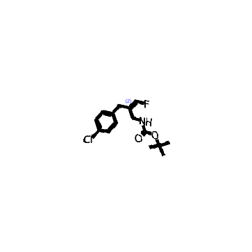 CC(C)(C)OC(=O)NC/C(=C\F)Cc1ccc(Cl)cc1